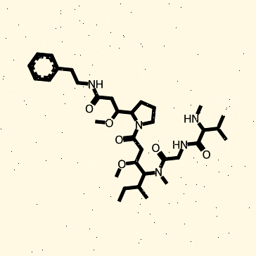 CCC(C)C(C(CC(=O)N1CCCC1C(CC(=O)NCCc1ccccc1)OC)OC)N(C)C(=O)CNC(=O)C(NC)C(C)C